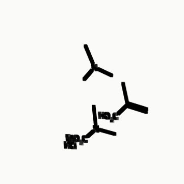 C=C(C)C(=O)O.CCOC(=O)N(C)C.CN(C)C.Cl